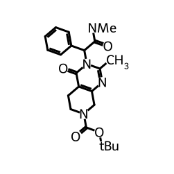 CNC(=O)C(c1ccccc1)n1c(C)nc2c(c1=O)CCN(C(=O)OC(C)(C)C)C2